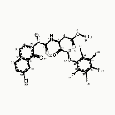 CC[C@@H](C(=O)NC(CC(=O)OC(C)(C)C)C(=O)COc1c(F)c(F)c(F)c(F)c1F)n1ccc2ccc(Cl)cc2c1=O